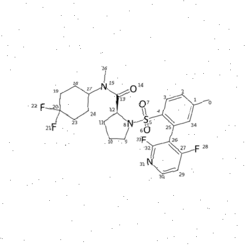 Cc1ccc(S(=O)(=O)N2CCC[C@H]2C(=O)N(C)C2CCC(F)(F)CC2)c(-c2c(F)ccnc2F)c1